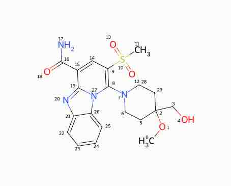 COC1(CO)CCN(c2c(S(C)(=O)=O)cc(C(N)=O)c3nc4ccccc4n23)CC1